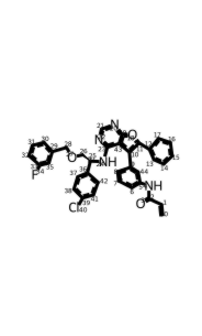 C=CC(=O)Nc1cccc(-c2c(-c3ccccc3)oc3ncnc(N[C@H](COCc4cccc(F)c4)c4ccc(Cl)cc4)c23)c1